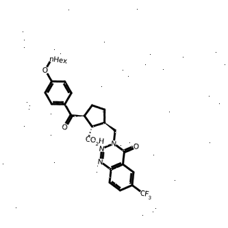 CCCCCCOc1ccc(C(=O)[C@H]2CC[C@@H](Cn3nnc4ccc(C(F)(F)F)cc4c3=O)[C@@H]2C(=O)O)cc1